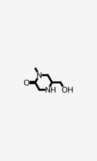 CN1CC(CO)NCC1=O